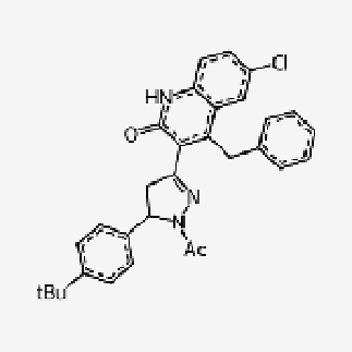 CC(=O)N1N=C(c2c(Cc3ccccc3)c3cc(Cl)ccc3[nH]c2=O)CC1c1ccc(C(C)(C)C)cc1